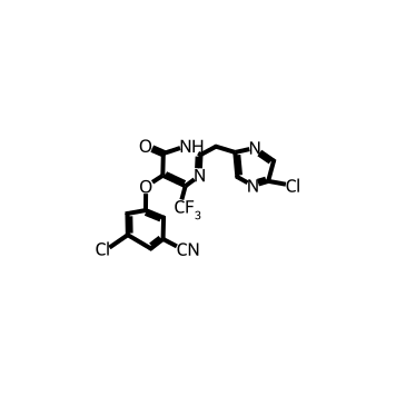 N#Cc1cc(Cl)cc(Oc2c(C(F)(F)F)nc(Cc3cnc(Cl)cn3)[nH]c2=O)c1